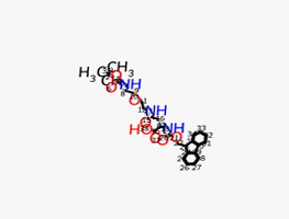 CC(C)(C)OC(=O)NCCOCCNC(=O)C[C@H](NC(=O)OCC1c2ccccc2-c2ccccc21)C(=O)O